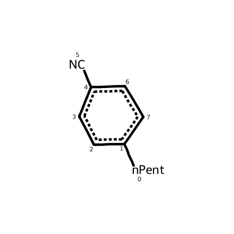 C[CH]CCCc1ccc(C#N)cc1